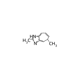 Cc1nc2c([nH]1)=CC=CC(C)C=2